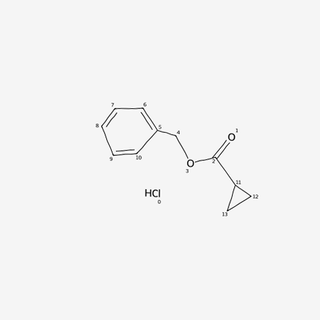 Cl.O=C(OCc1ccccc1)C1CC1